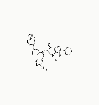 Cc1ccc(N2CCC[C@H](N(Cc3ccnc(C)c3)Cc3cn(C4CC4)c4c(F)c(C5=CCCCC5)ccc4c3=O)C2)cn1